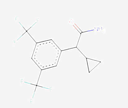 NC(=O)C(c1cc(C(F)(F)F)cc(C(F)(F)F)c1)C1CC1